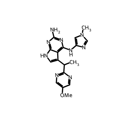 COc1cnc(C(C)c2c[nH]c3nc(N)nc(Nc4cn(C)cn4)c23)nc1